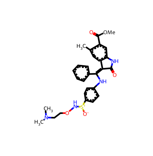 COC(=O)c1cc2c(cc1C)/C(=C(/Nc1ccc([S+]([O-])NOCCN(C)C)cc1)c1ccccc1)C(=O)N2